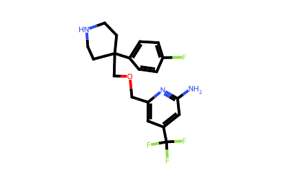 Nc1cc(C(F)(F)F)cc(COCC2(c3ccc(F)cc3)CCNCC2)n1